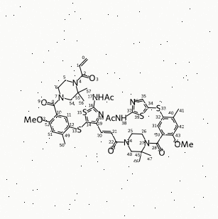 C=CC(=O)N1CCN(C(=O)c2cc(Sc3sc(NC(C)=O)nc3/C=C/C(=O)N3CCN(C(=O)c4cc(Sc5cnc(NC(C)=O)s5)c(C)cc4OC)C(C)(C)C3)c(C)cc2OC)CC1(C)C